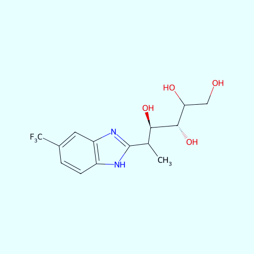 CC(c1nc2cc(C(F)(F)F)ccc2[nH]1)[C@@H](O)[C@@H](O)C(O)CO